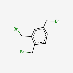 BrCc1ccc(CBr)c(CBr)c1